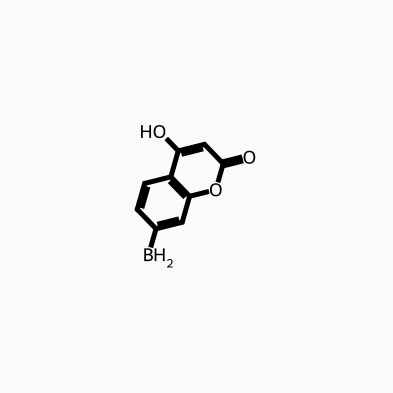 Bc1ccc2c(O)cc(=O)oc2c1